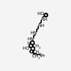 CC(C)CCC[C@@H](C)[C@H]1CCC2C3C(CC[C@@]21C)[C@@]1(C)CC[C@H](NCCCNCCCCNCCCNCc2ccccc2O)C[C@@H]1C[C@H]3O